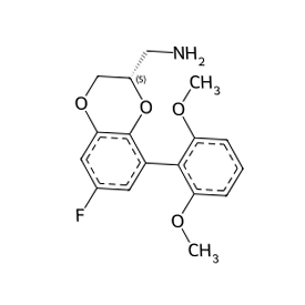 COc1cccc(OC)c1-c1cc(F)cc2c1O[C@@H](CN)CO2